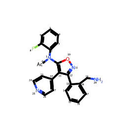 CC(=O)N(c1ccccc1F)c1onc(-c2ccccc2CN)c1-c1ccncc1